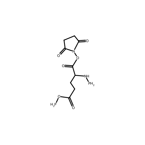 O=C(CCC(NP)C(=O)ON1C(=O)CCC1=O)OP